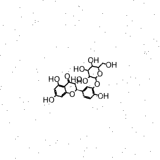 O=C1c2c(O)cc(O)cc2O[C@H](c2ccc(O)c(OC3OC(CO)C(O)C(O)C3O)c2)[C@H]1O